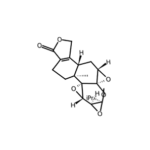 CC(C)[C@]12O[C@H]1[C@@H]1O[C@]13[C@]1(O[C@H]1C[C@H]1C4=C(CC[C@@]13C)C(=O)OC4)[C@@]21CO1